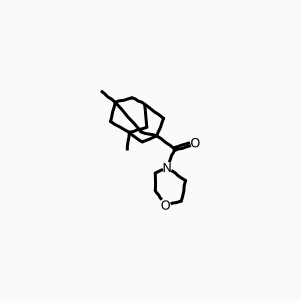 CC12CC3CC(C)(C1)CC(C(=O)N1CCOCC1)(C3)C2